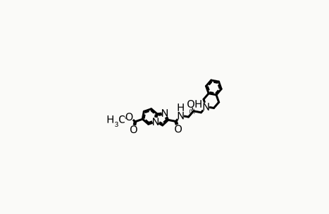 COC(=O)c1ccc2nc(C(=O)NC[C@H](O)CN3CCc4ccccc4C3)cn2c1